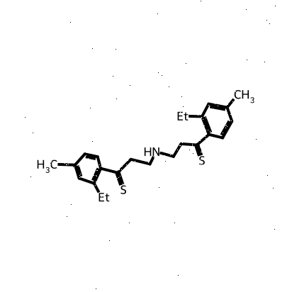 CCc1cc(C)ccc1C(=S)CCNCCC(=S)c1ccc(C)cc1CC